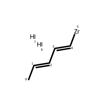 CC=CC=[CH][Zr].I.I